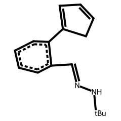 CC(C)(C)NN=Cc1ccccc1C1=CC=CC1